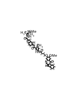 COc1cc2c(cc1OCCCC(=O)Nc1cc(C(=O)Nc3ccc4sc(C(=O)NCC(C)(C)SSC)cc4c3)n(C)c1)N=C[C@@H]1Cc3ccccc3N1C2=O